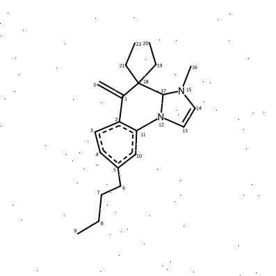 C=C1c2ccc(CCCC)cc2N2C=CN(C)C2C1(CC)CC